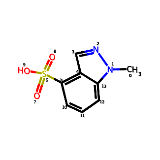 Cn1ncc2c(S(=O)(=O)O)cccc21